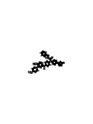 Cn1cc(-c2ccc(N(C(=O)NCc3ccccc3)C3CCC(Nc4ncc(C#N)c(N5CCC(O)CC5)n4)CC3)nc2)cn1